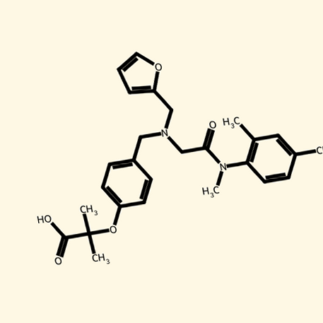 Cc1ccc(N(C)C(=O)CN(Cc2ccc(OC(C)(C)C(=O)O)cc2)Cc2ccco2)c(C)c1